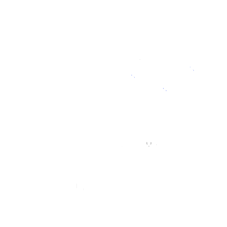 C#Cc1ccc(-n2c(/C=C/c3c(CO)cc(C)cc3OC)nc3ncccc3c2=O)cc1